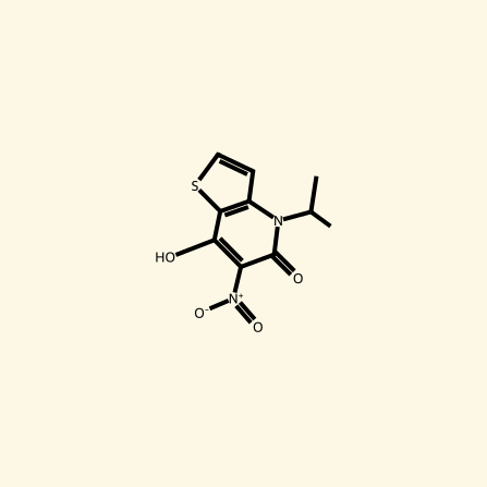 CC(C)n1c(=O)c([N+](=O)[O-])c(O)c2sccc21